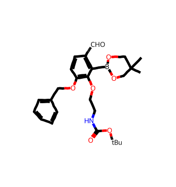 CC1(C)COB(c2c(C=O)ccc(OCc3ccccc3)c2OCCNC(=O)OC(C)(C)C)OC1